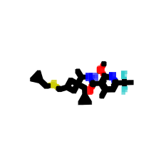 COc1nc(C(C)(F)F)cc(C)c1C(=O)NC(C)C1(CC2CC2)CC(CSCC2CC2)C1